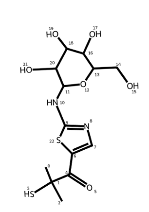 CC(C)(S)C(=O)c1cnc(NC2OC(CO)C(O)C(O)C2O)s1